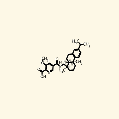 COc1cc(C(=O)NC[C@@]2(C)CCC[C@]3(C)c4ccc(C(C)C)cc4CC[C@@H]23)cnc1C(=O)O